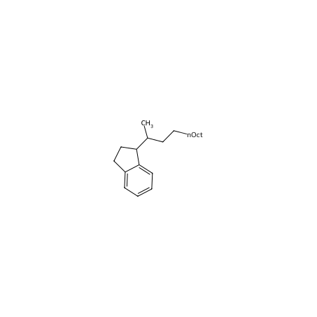 CCCCCCCCCCC(C)C1CCc2ccccc21